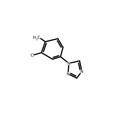 Cc1ccc(-n2cncn2)cc1Cl